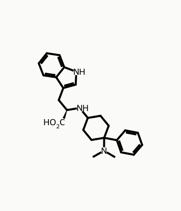 CN(C)C1(c2ccccc2)CCC(N[C@H](Cc2c[nH]c3ccccc23)C(=O)O)CC1